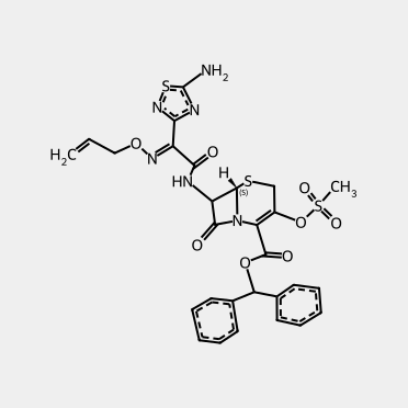 C=CCON=C(C(=O)NC1C(=O)N2C(C(=O)OC(c3ccccc3)c3ccccc3)=C(OS(C)(=O)=O)CS[C@@H]12)c1nsc(N)n1